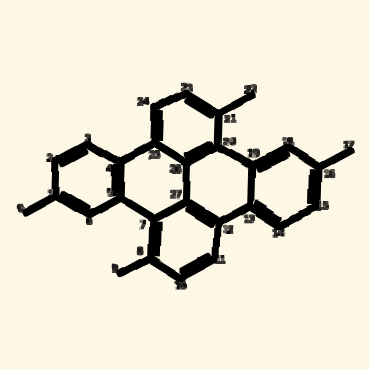 Cc1ccc2c(c1)c1c(C)ccc3c4ccc(C)cc4c4c(C)ccc2c4c31